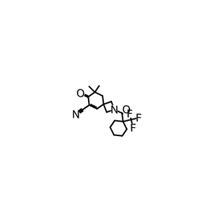 CC1(C)CC2(C=C(C#N)C1=O)CN(C(=O)C1(C(F)(F)F)CCCCC1)C2